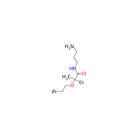 CCC(C)(OCCC(C)C)C(=O)NCCC[SiH3]